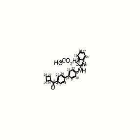 O=C(O)O.O=C(c1ccc(-c2ccc(Nc3nc4ccccc4s3)cc2)cc1)C1CCC1